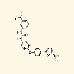 CCNc1ncc(-c2ccc(Oc3ncc(NC(=O)Nc4cccc(C(F)F)c4)cn3)cc2)s1